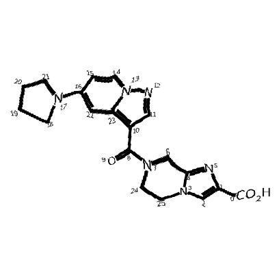 O=C(O)c1cn2c(n1)CN(C(=O)c1cnn3ccc(N4CCCC4)cc13)CC2